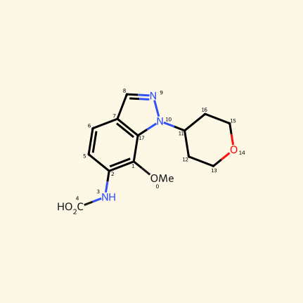 COc1c(NC(=O)O)ccc2cnn(C3CCOCC3)c12